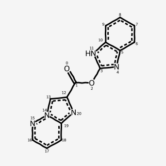 O=C(Oc1nc2ccccc2[nH]1)c1cn2ncccc2n1